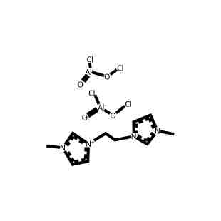 Cn1cc[n+](CC[n+]2ccn(C)c2)c1.[O]=[Al-]([Cl])[O]Cl.[O]=[Al-]([Cl])[O]Cl